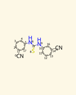 N#Cc1cccc(NC(=S)Nc2cccc(C#N)c2)c1